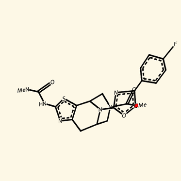 CNC(=O)Nc1nc2c(s1)C1CN(C(=O)OC)CC(C2)N1c1nc(-c2ccc(F)cc2)no1